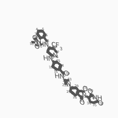 CN(c1ccccc1CNc1cc(Nc2ccc(C(=O)NC3CN(c4ccc5c(c4)C(=O)N(C4CCC(=O)NC4=O)C5=O)C3)cc2)ncc1C(F)(F)F)S(C)(=O)=O